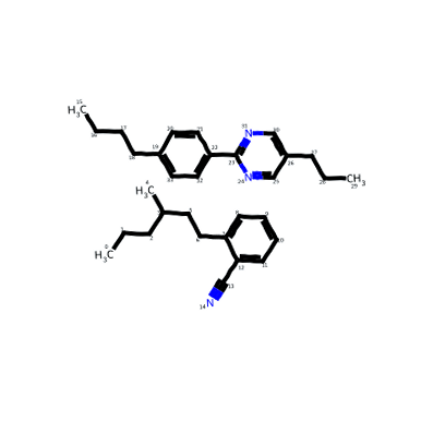 CCCC(C)CCc1ccccc1C#N.CCCCc1ccc(-c2ncc(CCC)cn2)cc1